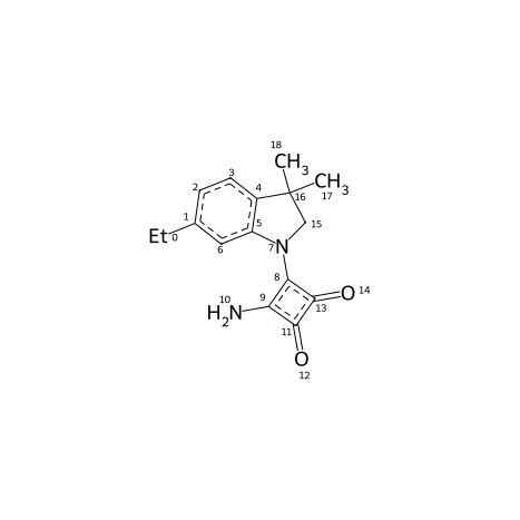 CCc1ccc2c(c1)N(c1c(N)c(=O)c1=O)CC2(C)C